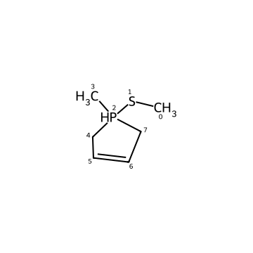 CS[PH]1(C)CC=CC1